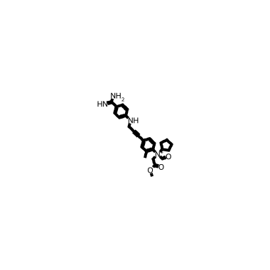 COC(=O)C[N+](C=O)(c1ccc(C#CCNc2ccc(C(=N)N)cc2)cc1C)C1CCCC1